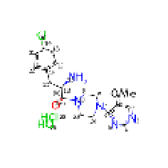 COc1cncnc1N1CCN(C(=O)[C@H](N)Cc2ccc(Cl)cc2)CC1.Cl.Cl